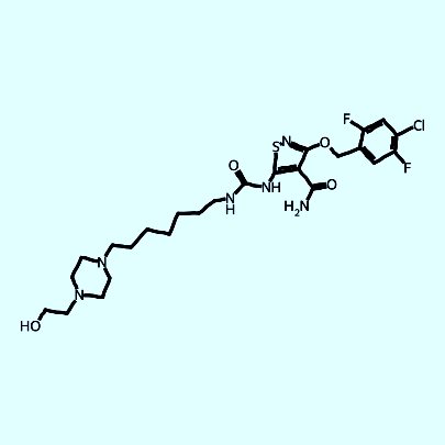 NC(=O)c1c(OCc2cc(F)c(Cl)cc2F)nsc1NC(=O)NCCCCCCCN1CCN(CCO)CC1